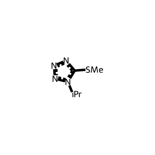 CSc1nnnn1C(C)C